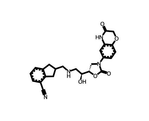 N#Cc1cccc2c1CC(CNC[C@H](O)[C@@H]1CN(c3ccc4c(c3)NC(=O)CO4)C(=O)O1)C2